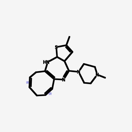 CC1=CC2C(N3CCN(C)CC3)=NC3=C(C/C=C\C/C=C\3)NC2S1